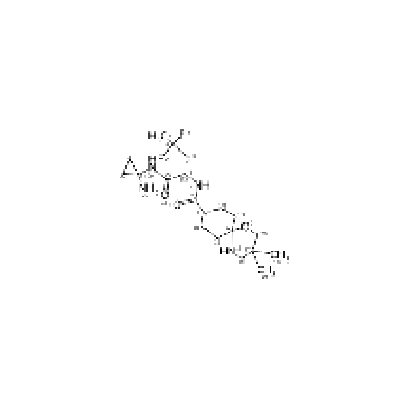 CC(F)(F)C[C@H](NC(=O)N1CCC2(CC1)NCC(C)(C)CO2)C(=O)NC1(N)CC1